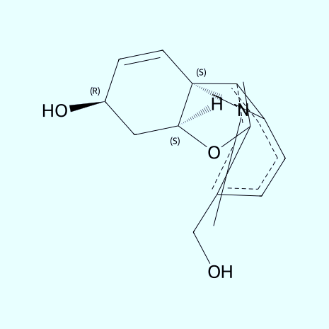 CN1CC[C@@]23C=C[C@H](O)C[C@@H]2Oc2c(CO)ccc(c23)C1